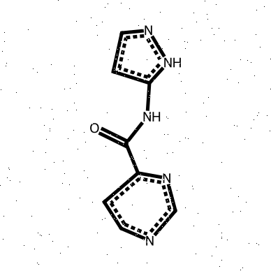 O=C(Nc1ccn[nH]1)c1ccncn1